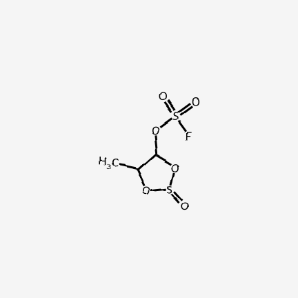 CC1OS(=O)OC1OS(=O)(=O)F